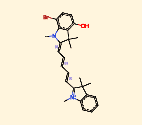 CN1/C(=C/C=C/C=C/C2=[N+](C)c3ccccc3C2(C)C)C(C)(C)c2c(O)ccc(Br)c21